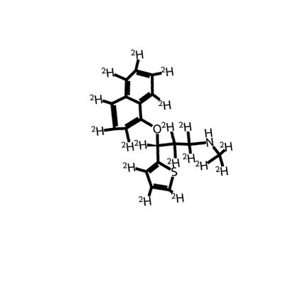 [2H]c1sc([C@]([2H])(Oc2c([2H])c([2H])c([2H])c3c([2H])c([2H])c([2H])c([2H])c23)C([2H])([2H])C([2H])([2H])NC([2H])([2H])[2H])c([2H])c1[2H]